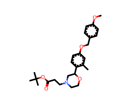 COc1ccc(COc2ccc(C3CN(CCC(=O)OC(C)(C)C)CCO3)c(C)c2)cc1